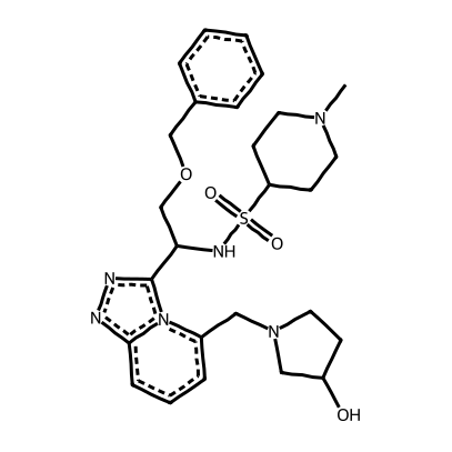 CN1CCC(S(=O)(=O)NC(COCc2ccccc2)c2nnc3cccc(CN4CCC(O)C4)n23)CC1